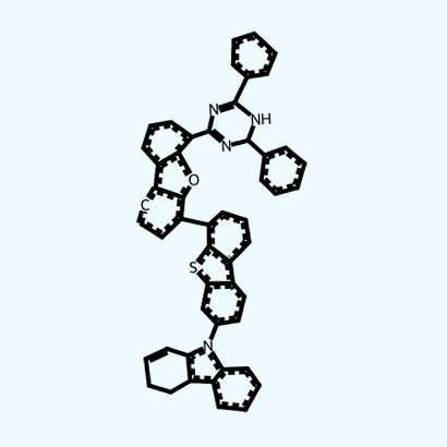 C1=Cc2c(c3ccccc3n2-c2ccc3c(c2)sc2c(-c4cccc5c4oc4c(C6=NC(c7ccccc7)NC(c7ccccc7)=N6)cccc45)cccc23)CC1